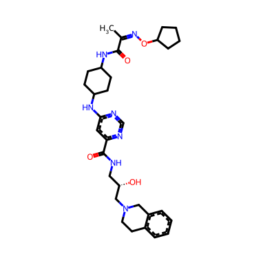 C/C(=N/OC1CCCC1)C(=O)NC1CCC(Nc2cc(C(=O)NC[C@H](O)CN3CCc4ccccc4C3)ncn2)CC1